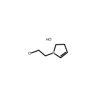 Cl.ClCCN1C=CCC1